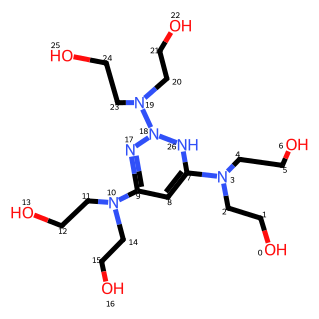 OCCN(CCO)C1=CC(N(CCO)CCO)=NN(N(CCO)CCO)N1